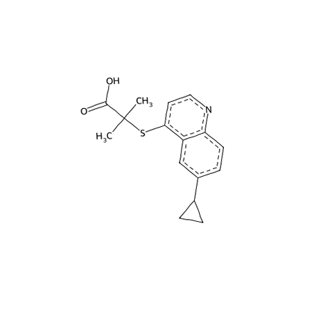 CC(C)(Sc1ccnc2ccc(C3CC3)cc12)C(=O)O